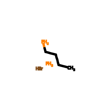 Br.CCCCP.P